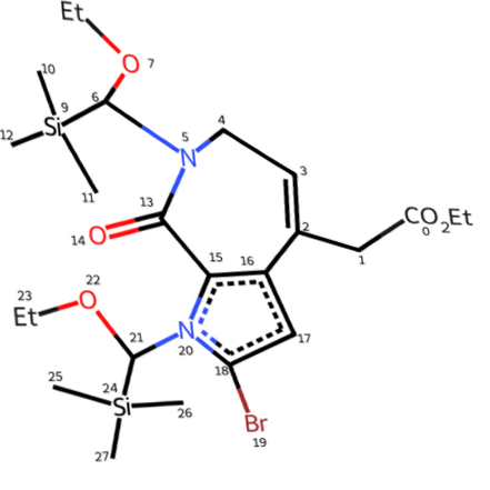 CCOC(=O)CC1=CCN(C(OCC)[Si](C)(C)C)C(=O)c2c1cc(Br)n2C(OCC)[Si](C)(C)C